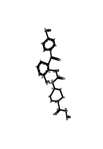 COc1ccc(C(=O)c2cccc(N)c2NC(=O)OC2CCN(C(=O)OC(C)(C)C)CC2)cc1